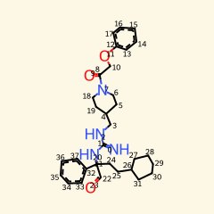 N=C(NCC1CCN(C(=O)COc2ccccc2)CC1)NC(C=O)(CCC1CCCCC1)c1ccccc1